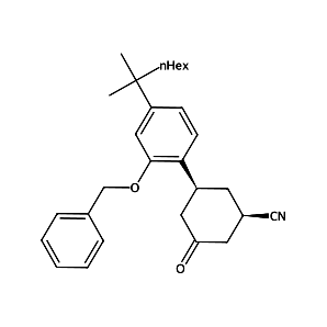 CCCCCCC(C)(C)c1ccc([C@@H]2CC(=O)C[C@H](C#N)C2)c(OCc2ccccc2)c1